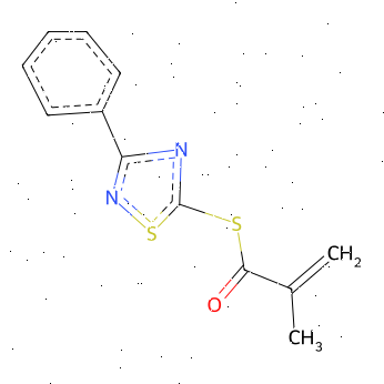 C=C(C)C(=O)Sc1nc(-c2ccccc2)ns1